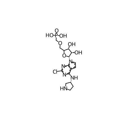 O=P(O)(O)COCC1O[C@@H](n2ccc3c(N[C@@H]4CCNC4)nc(Cl)nc32)[C@H](O)[C@@H]1O